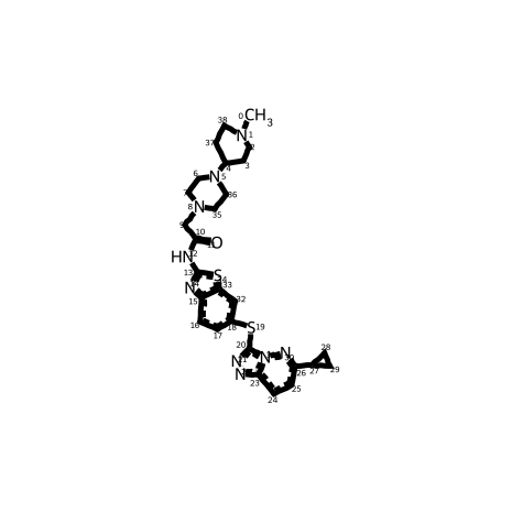 CN1CCC(N2CCN(CC(=O)Nc3nc4ccc(Sc5nnc6ccc(C7CC7)nn56)cc4s3)CC2)CC1